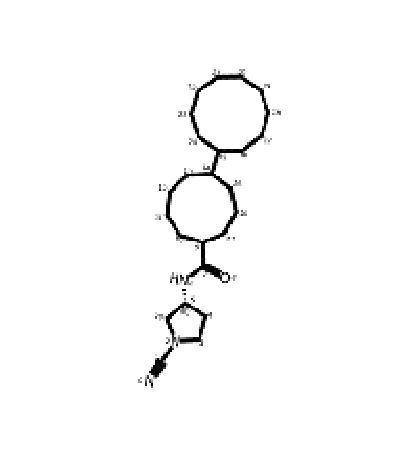 N#CN1CC[C@@H](NC(=O)C2CCCCC(C3CCCCCCCCC3)CCC2)C1